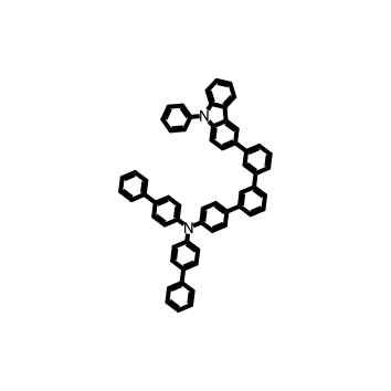 c1ccc(-c2ccc(N(c3ccc(-c4ccccc4)cc3)c3ccc(-c4cccc(-c5cccc(-c6ccc7c(c6)c6ccccc6n7-c6ccccc6)c5)c4)cc3)cc2)cc1